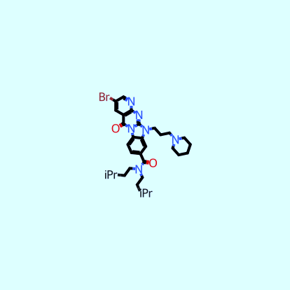 CC(C)CCN(CCC(C)C)C(=O)c1ccc2c(c1)n(CCCN1CCCCC1)c1nc3ncc(Br)cc3c(=O)n21